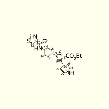 CCOC(=O)c1sc(-c2ccc(NC(=O)c3cscn3)cc2)cc1C1C=CNCC1